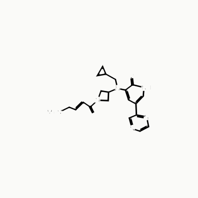 CNCC=CC(=O)N1CC(N(CC2CC2)c2cc(-c3cnccn3)c[nH]c2=O)C1